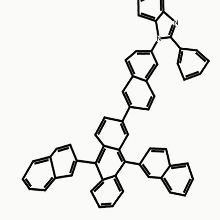 c1ccc(-c2nc3ccccc3n2-c2ccc3cc(-c4ccc5c(-c6ccc7ccccc7c6)c6ccccc6c(-c6ccc7ccccc7c6)c5c4)ccc3c2)cc1